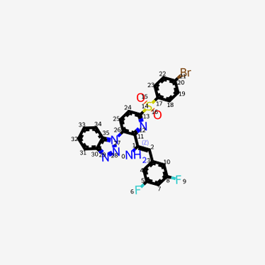 N/C(=C\c1cc(F)cc(F)c1)c1nc(S(=O)(=O)c2ccc(Br)cc2)ccc1-n1nnc2ccccc21